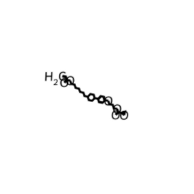 C=CC(=O)OCCCCCCCC1CCC(c2ccc(OCCCOC(=O)C3CO3)cc2)CC1